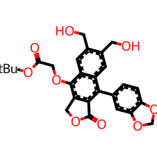 CC(C)(C)OC(=O)COc1c2c(c(-c3ccc4c(c3)OCO4)c3cc(CO)c(CO)cc13)C(=O)OC2